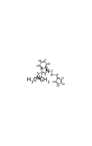 C[N+](C)=Cc1cn(CCCC2C=CC=C2)c2ccccc12